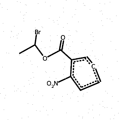 CC(Br)OC(=O)c1ccccc1[N+](=O)[O-]